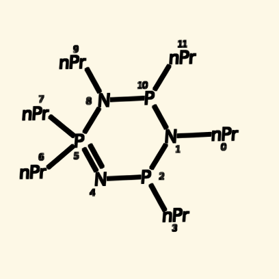 CCCN1P(CCC)N=P(CCC)(CCC)N(CCC)P1CCC